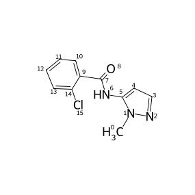 Cn1nccc1NC(=O)c1ccccc1Cl